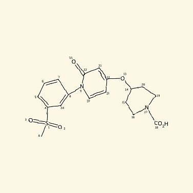 CS(=O)(=O)c1cccc(-n2ccc(OC3CCN(C(=O)O)CC3)cc2=O)c1